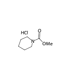 COC(=O)N1CCCCC1.Cl